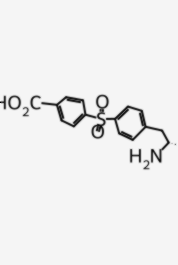 C[C@H](N)Cc1ccc(S(=O)(=O)c2ccc(C(=O)O)cc2)cc1